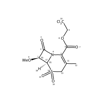 CO[C@H]1C(=O)N2C(C(=O)OCC(Cl)(Cl)Cl)=C(C)CS(=O)(=O)[C@@H]12